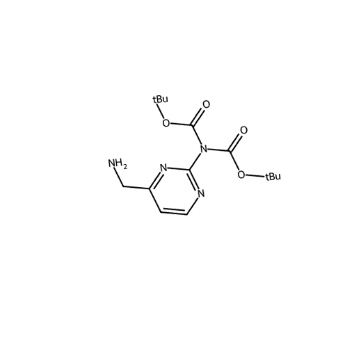 CC(C)(C)OC(=O)N(C(=O)OC(C)(C)C)c1nccc(CN)n1